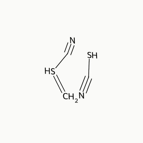 C=[SH]C#N.N#CS